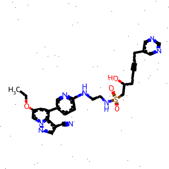 CCOc1cc(-c2ccc(NCCNS(=O)(=O)CC(O)CC#CCc3cncnc3)nc2)c2c(C#N)cnn2c1